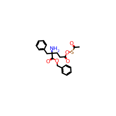 CC(=O)SOC(=O)CCC(N)(Cc1ccccc1)C(=O)OCc1ccccc1